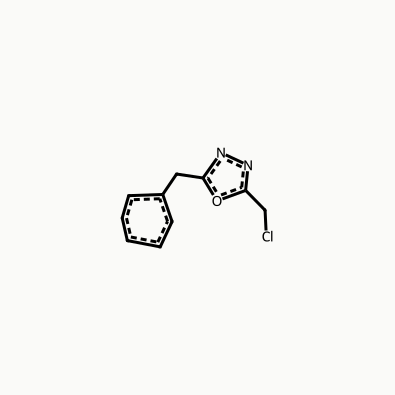 ClCc1nnc(Cc2ccccc2)o1